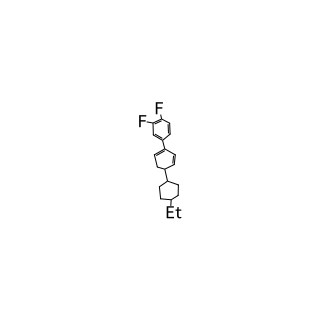 CCC1CCC(C2C=CC(c3ccc(F)c(F)c3)=CC2)CC1